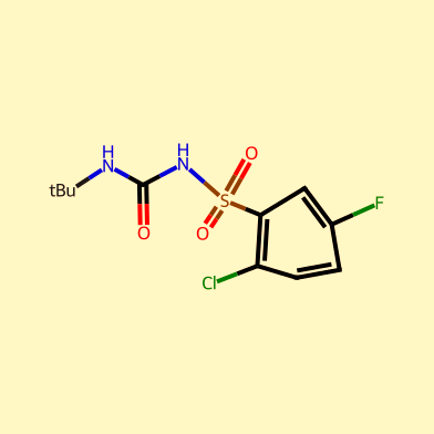 CC(C)(C)NC(=O)NS(=O)(=O)c1cc(F)ccc1Cl